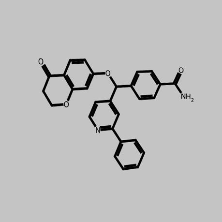 NC(=O)c1ccc(C(Oc2ccc3c(c2)OCCC3=O)c2ccnc(-c3ccccc3)c2)cc1